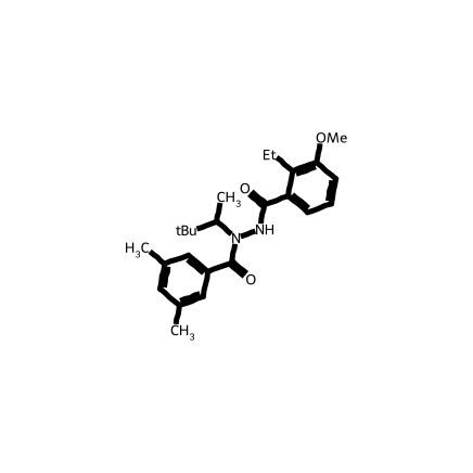 CCc1c(OC)cccc1C(=O)NN(C(=O)c1cc(C)cc(C)c1)C(C)C(C)(C)C